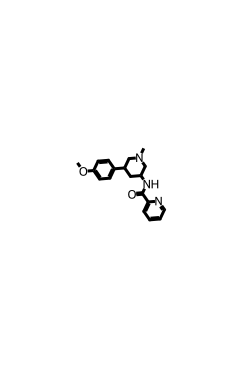 COc1ccc(C2CC(NC(=O)c3ccccn3)CN(C)C2)cc1